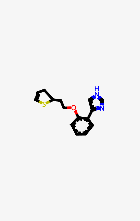 C1=CSC(CCOc2ccccc2-c2c[nH]cn2)C1